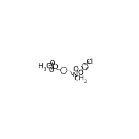 CN(CC[C@H]1CC[C@H](COS(C)(=O)=O)CC1)C(=O)Oc1ccc(Cl)cc1